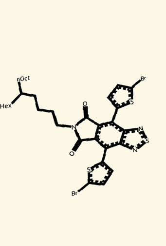 CCCCCCCCC(CCCCCC)CCCCN1C(=O)c2c(c(-c3ccc(Br)s3)c3nsnc3c2-c2ccc(Br)s2)C1=O